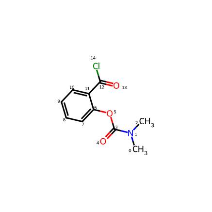 CN(C)C(=O)Oc1ccccc1C(=O)Cl